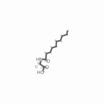 CCCCCCCCCC(=O)N[C@@H](C)C(=O)O